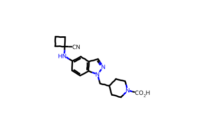 N#CC1(Nc2ccc3c(cnn3CC3CCN(C(=O)O)CC3)c2)CCC1